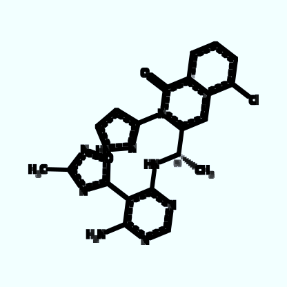 Cc1noc(-c2c(N)ncnc2N[C@@H](C)c2cc3c(Cl)cccc3c(=O)n2-c2cc[nH]n2)n1